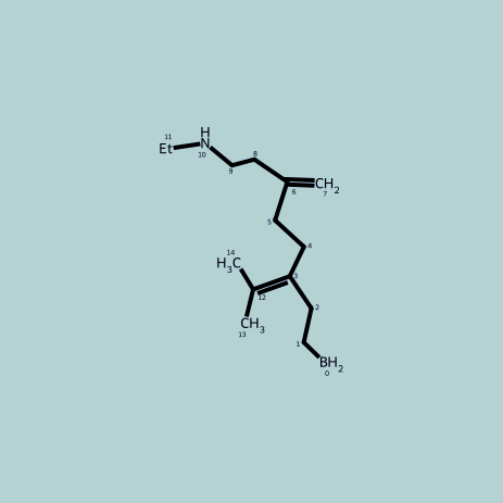 BCCC(CCC(=C)CCNCC)=C(C)C